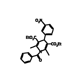 CCOC(=O)C1=C(C)N(C(=O)c2ccccc2)C(C)=C(C(=O)OCC)C1c1cccc([N+](=O)[O-])c1